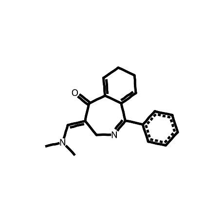 CN(C)/C=C1\CN=C(c2ccccc2)C2=CCCC=C2C1=O